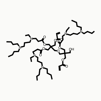 C=CC(=O)OCC(CO)(COCC(COC(=O)C=C)(COC(=O)CCN(CC)CCCN(CCCC)CCCC)COC(=O)CCN(CC)CCCN(CCCC)CCCC)COC(=O)CCN(CC)CCCN(CCCC)CCCC